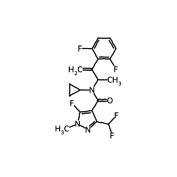 C=C(c1c(F)cccc1F)C(C)N(C(=O)c1c(C(F)F)nn(C)c1F)C1CC1